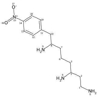 NCCC(N)CCCC(N)Cc1ccc([N+](=O)[O-])cc1